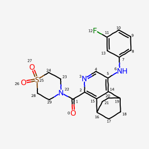 O=C(c1ncc(Nc2cccc(F)c2)c2c1C1CCC2CC1)N1CCS(=O)(=O)CC1